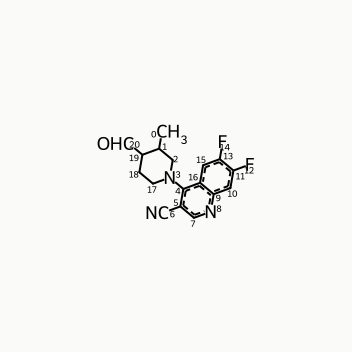 CC1CN(c2c(C#N)cnc3cc(F)c(F)cc23)CCC1C=O